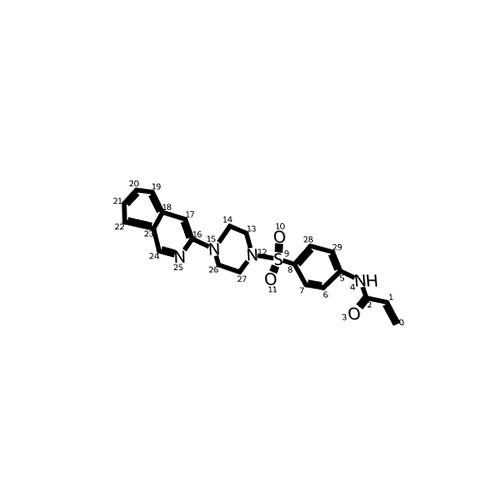 C=CC(=O)Nc1ccc(S(=O)(=O)N2CCN(c3cc4ccccc4cn3)CC2)cc1